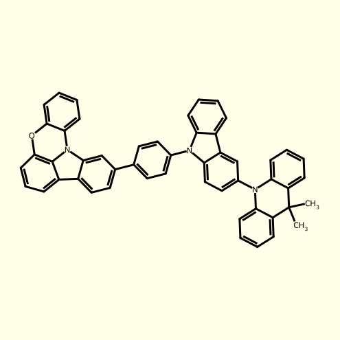 CC1(C)c2ccccc2N(c2ccc3c(c2)c2ccccc2n3-c2ccc(-c3ccc4c5cccc6c5n(c4c3)-c3ccccc3O6)cc2)c2ccccc21